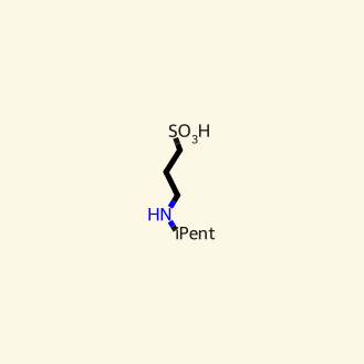 CCCC(C)NCCCS(=O)(=O)O